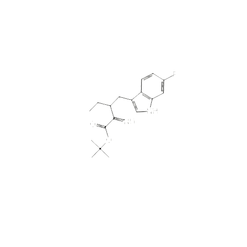 CCC(Cc1c[nH]c2cc(F)ccc12)C(=N)C(=O)OC(C)(C)C